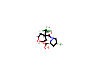 O=C(O)[C@@H]1C[C@@H](F)CN1C(=O)C1(C(F)(F)F)CCOCC1